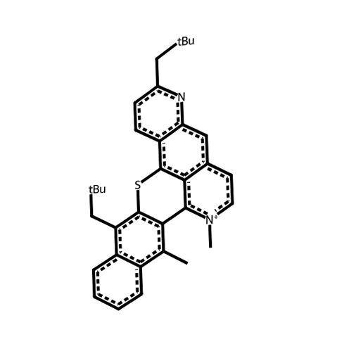 Cc1c2c(c(CC(C)(C)C)c3ccccc13)Sc1c3ccc(CC(C)(C)C)nc3cc3cc[n+](C)c-2c13